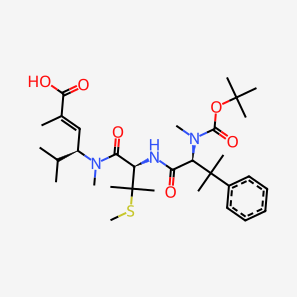 CSC(C)(C)[C@H](NC(=O)[C@@H](N(C)C(=O)OC(C)(C)C)C(C)(C)c1ccccc1)C(=O)N(C)[C@H](/C=C(\C)C(=O)O)C(C)C